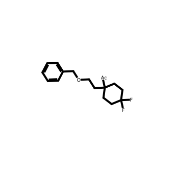 CC(=O)C1(CCOCc2ccccc2)CCC(F)(F)CC1